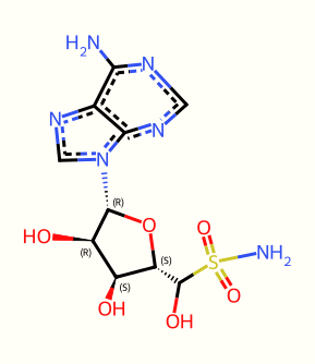 Nc1ncnc2c1ncn2[C@@H]1O[C@H](C(O)S(N)(=O)=O)[C@@H](O)[C@H]1O